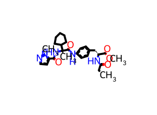 CCC(=O)N[C@H](Cc1ccc(NC(=O)[C@](C)(NC(=O)c2ccnn2C)C2CCCCC2)cc1)C(=O)OC